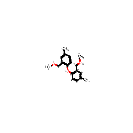 COCc1cc(C)ccc1Oc1ccc(C)cc1COC